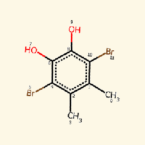 Cc1c(C)c(Br)c(O)c(O)c1Br